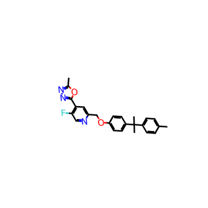 Cc1ccc(C(C)(C)c2ccc(OCc3cc(-c4nnc(C)o4)c(F)cn3)cc2)cc1